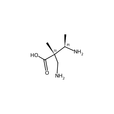 C[C@@H](N)[C@](C)(CN)C(=O)O